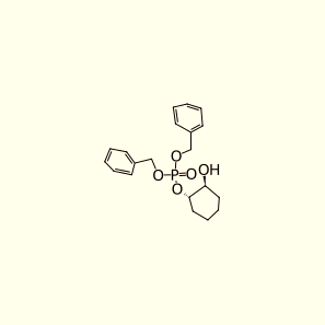 O=P(OCc1ccccc1)(OCc1ccccc1)O[C@H]1CCCC[C@@H]1O